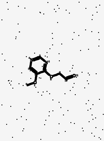 COc1cncnc1OCC=O